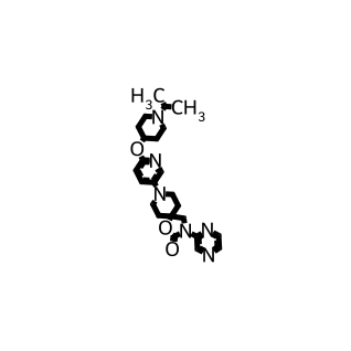 CC(C)N1CCC(Oc2ccc(N3CCC4(CC3)CN(c3cnccn3)C(=O)O4)cn2)CC1